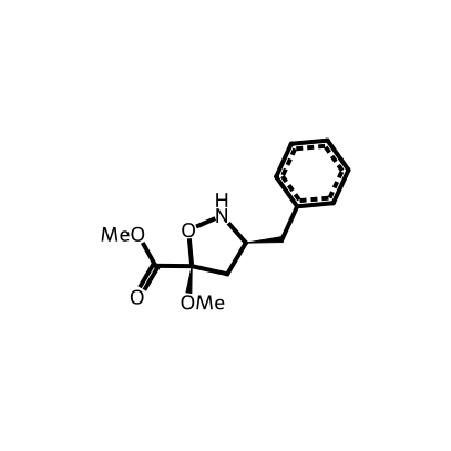 COC(=O)[C@@]1(OC)C[C@H](Cc2ccccc2)NO1